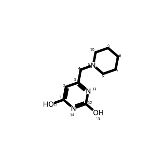 Oc1cc(CN2CCCCC2)nc(O)n1